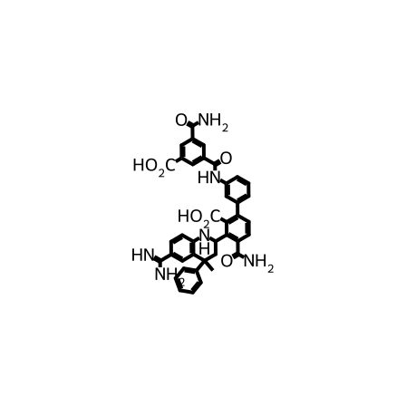 CC1(c2ccccc2)CC(c2c(C(N)=O)ccc(-c3cccc(NC(=O)c4cc(C(N)=O)cc(C(=O)O)c4)c3)c2C(=O)O)Nc2ccc(C(=N)N)cc21